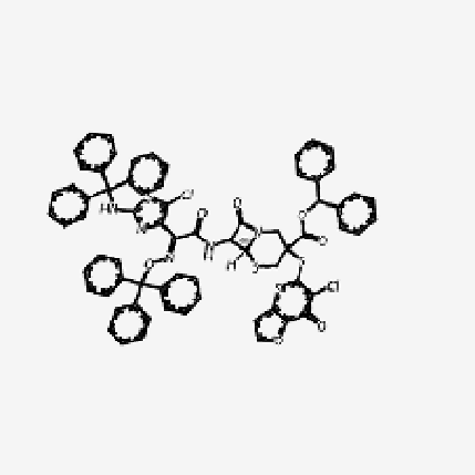 O=C(NC1C(=O)N2CC(Sc3sc4ccoc4c(=O)c3Cl)(C(=O)OC(c3ccccc3)c3ccccc3)CS[C@H]12)C(=NOC(c1ccccc1)(c1ccccc1)c1ccccc1)c1nc(NC(c2ccccc2)(c2ccccc2)c2ccccc2)sc1Cl